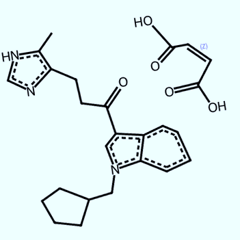 Cc1[nH]cnc1CCC(=O)c1cn(CC2CCCC2)c2ccccc12.O=C(O)/C=C\C(=O)O